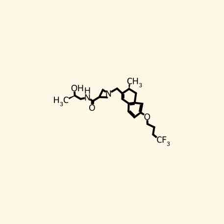 C[C@@H](O)CNC(=O)C1CN(CC2=Cc3ccc(OCCCC(F)(F)F)cc3C[C@@H]2C)C1